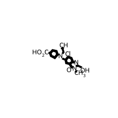 C#CCN(Cc1cc2c(=O)n(C)c(CO)nc2cc1Cl)c1ccc(C(=O)O)cc1